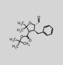 CC(C)(C)OC(=O)N1[C@H](Cc2ccccc2)[C@@H](C=O)OC1(C)C